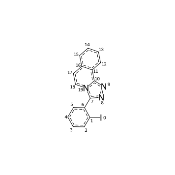 Ic1ccccc1-c1nnc2c3ccccc3ccn12